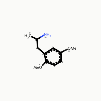 COc1ccc(OC)c([CH]C(C)N)c1